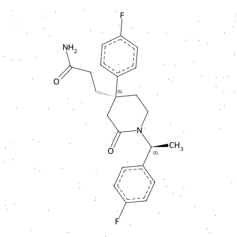 C[C@@H](c1ccc(F)cc1)N1CC[C@](CCC(N)=O)(c2ccc(F)cc2)CC1=O